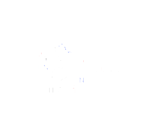 Cc1cc2[nH]c(=O)c3cnn([C@H]4CCOC4)c3c2cc1C(=O)N1CCC(OC2CC2)CC1